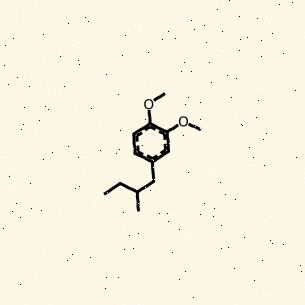 CCC(C)Cc1ccc(OC)c(OC)c1